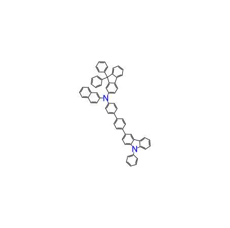 c1ccc(-n2c3ccccc3c3cc(-c4ccc(-c5ccc(N(c6ccc7c(c6)C(c6ccccc6)(c6ccccc6)c6ccccc6-7)c6ccc7ccccc7c6)cc5)cc4)ccc32)cc1